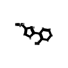 O=C(O)c1csc(C2=C(O)CCC=C2)n1